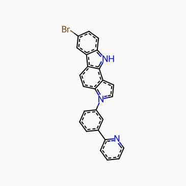 Brc1ccc2[nH]c3c(ccc4c3ccn4-c3cccc(-c4ccccn4)c3)c2c1